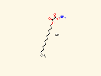 CCCCCCCCCCCCOC(=O)C(=O)ON.[KH]